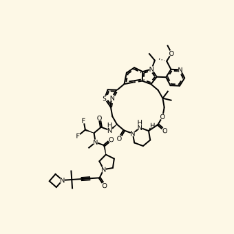 CCn1c(-c2cccnc2[C@H](C)OC)c2c3cc(ccc31)-c1csc(n1)C[C@H](NC(=O)[C@H](C(F)F)N(C)C(=O)[C@H]1CCN(C(=O)C#CC(C)(C)N3CCC3)C1)C(=O)N1CCC[C@H](N1)C(=O)OCC(C)(C)C2